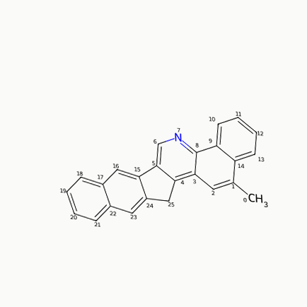 Cc1cc2c3c(cnc2c2ccccc12)-c1cc2ccccc2cc1C3